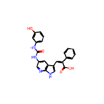 O=C(Nc1cccc(O)c1)Nc1cnc2[nH]cc(C=C(C(=O)O)c3ccccc3)c2c1